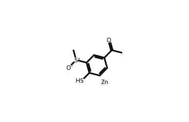 CC(=O)c1ccc(S)c([S+](C)[O-])c1.[Zn]